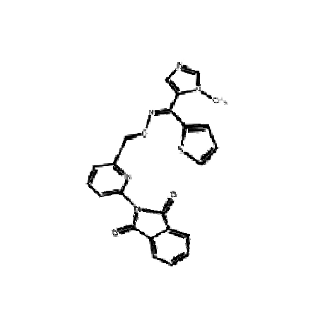 Cn1cncc1C(=NOCc1cccc(N2C(=O)c3ccccc3C2=O)n1)c1cccs1